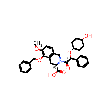 COc1ccc2c(c1OCc1ccccc1)C[C@H](C(=O)O)N(C(=O)[C@@H](O[C@H]1CC[C@@H](O)CC1)c1ccccc1)C2